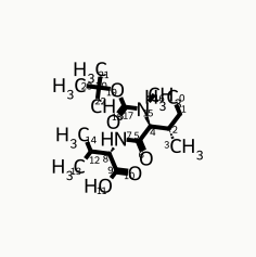 CC[C@H](C)[C@@H](C(=O)N[C@H](C(=O)O)C(C)C)N(C)C(=O)OC(C)(C)C